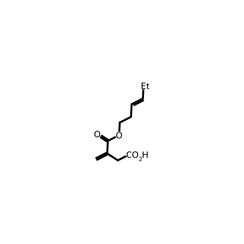 C=C(CC(=O)O)C(=O)OCCC=CCC